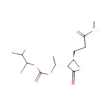 CCNC(=S)CC[C@H]1NC(=O)[C@@H]1C(C)OC(=O)OC(Cl)C(Cl)Cl